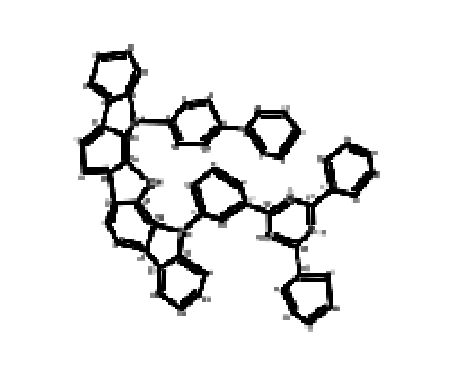 c1ccc(-c2ccc(-n3c4ccccc4c4ccc5c6ccc7c8ccccc8n(-c8cccc(-c9nc(-c%10ccccc%10)nc(-c%10ccccc%10)n9)c8)c7c6oc5c43)cc2)cc1